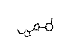 S=CN1CCC(c2ccc(-c3cccc(Cl)c3)o2)=N1